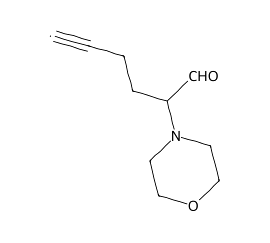 [C]#CCCC(C=O)N1CCOCC1